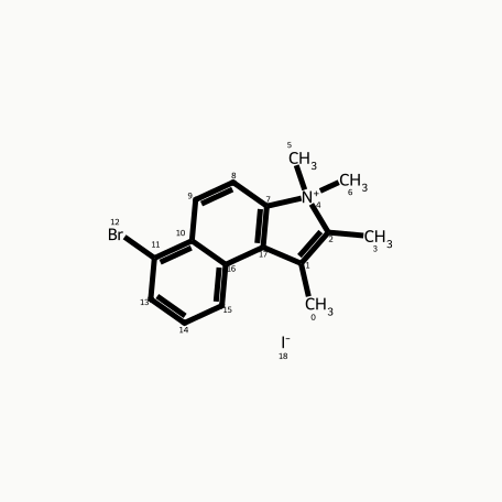 CC1=C(C)[N+](C)(C)c2ccc3c(Br)cccc3c21.[I-]